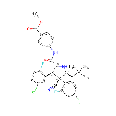 COC(=O)c1ccc(NC(=O)[C@@H]2N[C@@H](CC(C)(C)C)[C@](C#N)(c3ccc(Cl)cc3F)[C@H]2c2cc(Cl)ccc2F)cc1